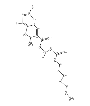 Cc1cc(Br)cc2c1OC(C(F)(F)F)C(C(=O)OC(C)OC(=O)OCCSCCO[N+](=O)[O-])=C2